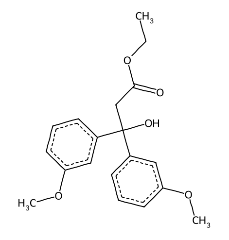 CCOC(=O)CC(O)(c1cccc(OC)c1)c1cccc(OC)c1